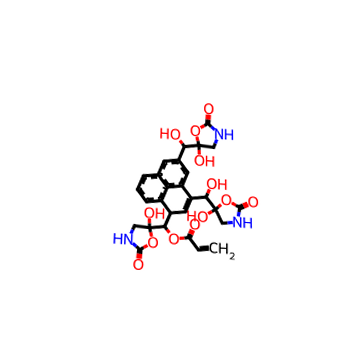 C=CC(=O)OC(C1C=C(C(O)C2(O)CNC(=O)O2)c2cc(C(O)C3(O)CNC(=O)O3)cc3cccc1c23)C1(O)CNC(=O)O1